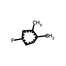 Bc1ccc(F)cc1C